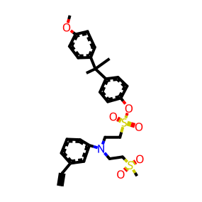 C#Cc1cccc(N(CCS(C)(=O)=O)CCS(=O)(=O)Oc2ccc(C(C)(C)c3ccc(OC)cc3)cc2)c1